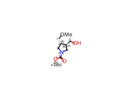 COC[C@H]1CN(C(=O)OC(C)(C)C)C[C@@H]1CO